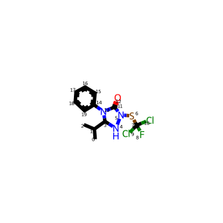 CC(C)C1NN(SC(F)(Cl)Cl)C(=O)N1c1ccccc1